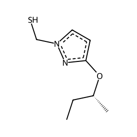 CC[C@@H](C)Oc1ccn(CS)n1